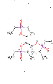 CCP(=O)(CC)OCC(OP(=O)(CC)CC)C(C)OP(=O)(CC)CC